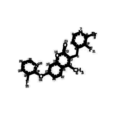 Cc1c(Cc2ccnc(Br)c2F)c(=O)oc2cc(Oc3ncccc3F)ccc12